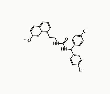 COc1ccc2cccc(CCNC(=O)NC(c3ccc(Cl)cc3)c3ccc(Cl)cc3)c2c1